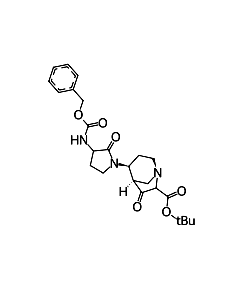 CC(C)(C)OC(=O)C1C(=O)[C@@H]2C[N@@]1CC[C@@H]2N1CCC(NC(=O)OCc2ccccc2)C1=O